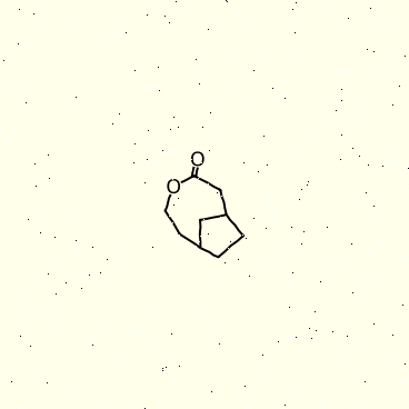 O=C1CC2CCC(CCO1)C2